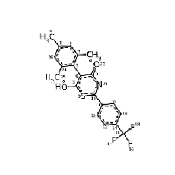 Cc1cc(C)c(-c2c(O)sc(-c3ccc(C(F)(F)F)cc3)nc2=O)c(C)c1